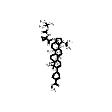 C=C(C)[C@@H]1CC[C@]2(NC(=O)C3(NC(=O)OC(C)(C)C)CC3)CC[C@]3(C)[C@H](CC[C@@H]4[C@@]5(C)CC=C(c6ccc(C(=O)OC)cc6)C(C)(C)[C@@H]5CC[C@]43C)[C@@H]12